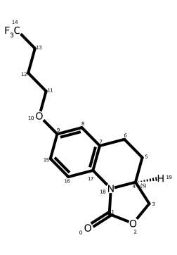 O=C1OC[C@@H]2CCc3cc(OCCCC(F)(F)F)ccc3N12